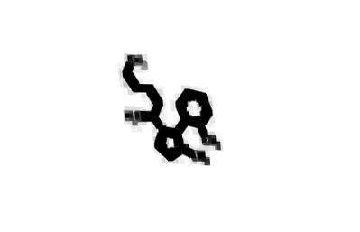 C=C(/C=C\C=C/C)n1cc[n+](C)c1-c1ccccc1C